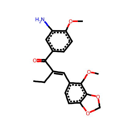 CC/C(=C\c1ccc2c(c1OC)OCO2)C(=O)c1ccc(OC)c(N)c1